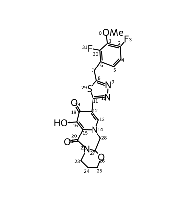 COc1c(F)ccc(Cc2nnc(-c3cn4c(c(O)c3=O)C(=O)N3CCCOC3C4)s2)c1F